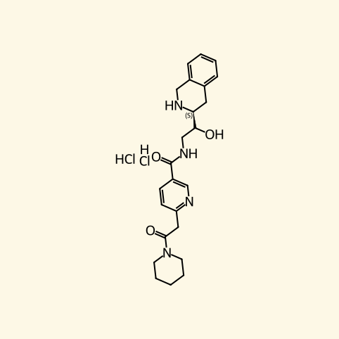 Cl.Cl.O=C(NCC(O)[C@@H]1Cc2ccccc2CN1)c1ccc(CC(=O)N2CCCCC2)nc1